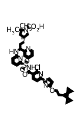 CC1(C)C[C@@H](CCC(Nc2cccc(S(=O)(=O)NC(=O)c3ccc(-n4ccc(OCCC5C6(CC6)C56CC6)n4)nc3Cl)n2)c2ccccn2)CN1C(=O)O